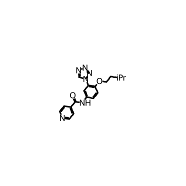 CC(C)CCOc1ccc(NC(=O)c2ccncc2)cc1-n1cnnn1